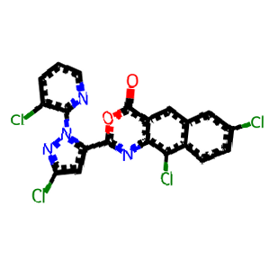 O=c1oc(-c2cc(Cl)nn2-c2ncccc2Cl)nc2c(Cl)c3ccc(Cl)cc3cc12